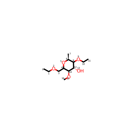 CCOCC1O[C@@H](C)C(OCC)[C@H](O)[C@H]1OC